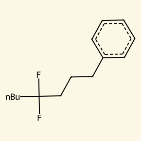 [CH2]CCCC(F)(F)CCCc1ccccc1